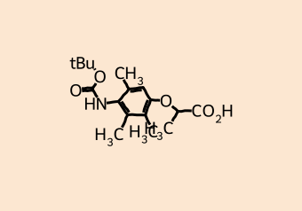 Cc1cc(OC(C)C(=O)O)c(C)c(C)c1NC(=O)OC(C)(C)C